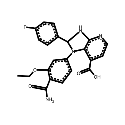 CCOc1cc(N2c3c(C(=O)O)ccnc3NC2c2ccc(F)cc2)ccc1C(N)=O